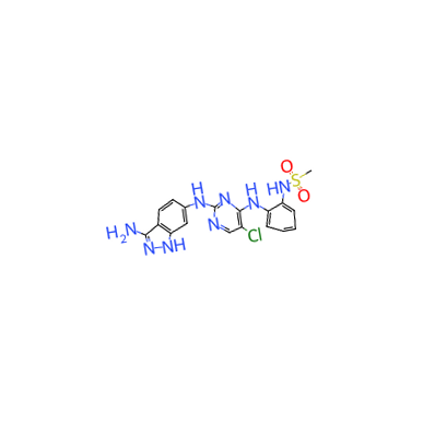 CS(=O)(=O)Nc1ccccc1Nc1nc(Nc2ccc3c(N)n[nH]c3c2)ncc1Cl